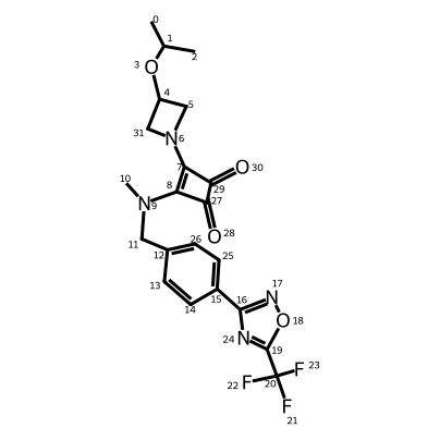 CC(C)OC1CN(c2c(N(C)Cc3ccc(-c4noc(C(F)(F)F)n4)cc3)c(=O)c2=O)C1